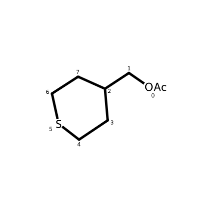 CC(=O)OCC1CCSCC1